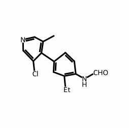 CCc1cc(-c2c(C)cncc2Cl)ccc1NC=O